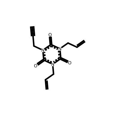 C#CCn1c(=O)n(CC=C)c(=O)n(CC=C)c1=O